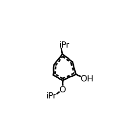 CC(C)Oc1ccc(C(C)C)cc1O